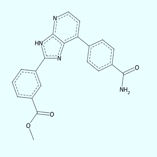 COC(=O)c1cccc(-c2nc3c(-c4ccc(C(N)=O)cc4)ccnc3[nH]2)c1